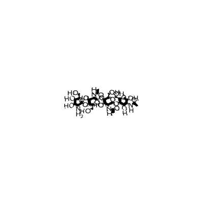 CC(=O)N[C@H]1[C@H](O[C@H]2[C@H](O)[C@@H](NC(C)=O)[C@H](O[C@H]3[C@H](O)[C@@H](NC(C)=O)C(O)O[C@@H]3CO)O[C@@H]2CO)O[C@H](CO)[C@@H](O[C@@H]2O[C@H](CO)[C@@H](O)[C@H](O)[C@H]2N)[C@@H]1O